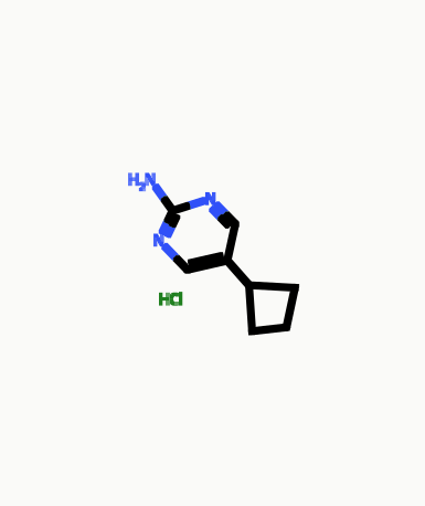 Cl.Nc1ncc(C2CCC2)cn1